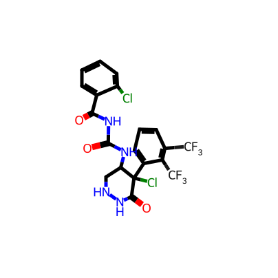 O=C(NC(=O)c1ccccc1Cl)NC1CNNC(=O)C1(Cl)c1cccc(C(F)(F)F)c1C(F)(F)F